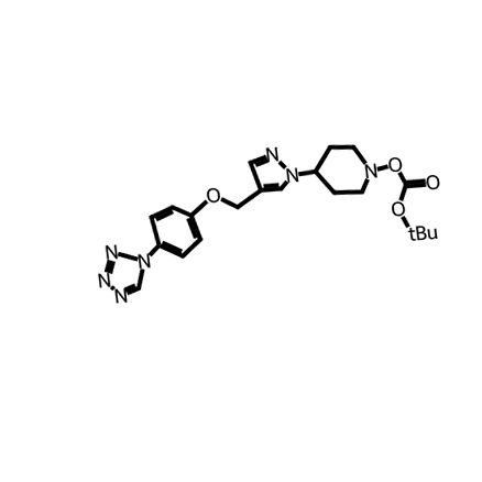 CC(C)(C)OC(=O)ON1CCC(n2cc(COc3ccc(-n4cnnn4)cc3)cn2)CC1